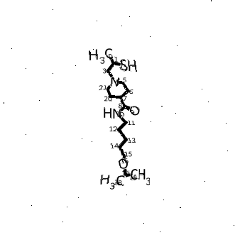 CC(S)CN1CCC(C(=O)NCCCCCOC(C)C)CC1